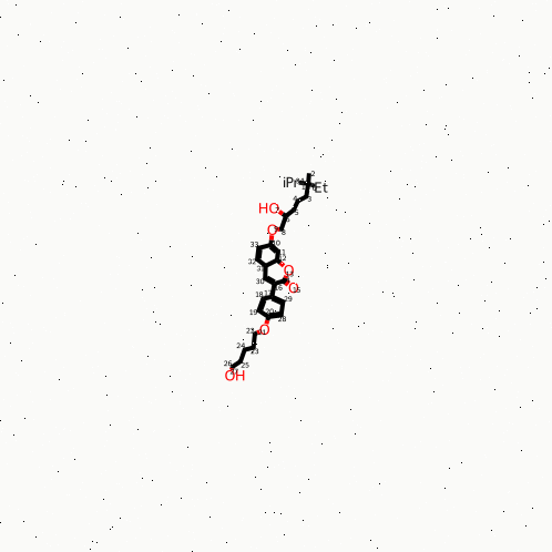 CCC(C)(CCCC(O)COC1=CC2OC(=O)C(c3ccc(OCCCCCO)cc3)=CC2C=C1)C(C)C